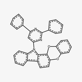 c1ccc(-c2cc(-n3c4ccccc4c4ccc5c(c43)Oc3ccccc3O5)nc(-c3ccccc3)n2)cc1